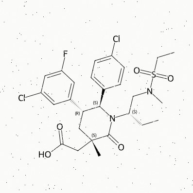 CC[C@@H](CN(C)S(=O)(=O)CC)N1C(=O)[C@](C)(CC(=O)O)C[C@H](c2cc(F)cc(Cl)c2)[C@H]1c1ccc(Cl)cc1